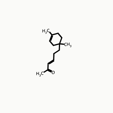 CC(=O)/C=C/CCC1(C)CC=C(C)CC1